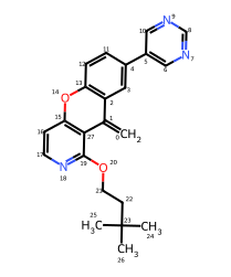 C=C1c2cc(-c3cncnc3)ccc2Oc2ccnc(OCCC(C)(C)C)c21